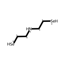 [SeH]CCNCC[SeH]